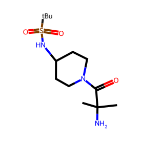 CC(C)(N)C(=O)N1CCC(NS(=O)(=O)C(C)(C)C)CC1